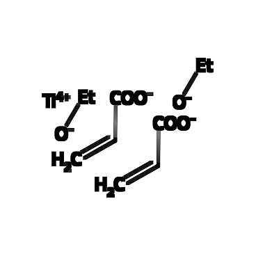 C=CC(=O)[O-].C=CC(=O)[O-].CC[O-].CC[O-].[Ti+4]